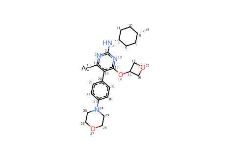 CC(=O)c1nc(N[C@H]2CC[C@@H](C)CC2)nc(OC2COC2)c1-c1ccc(N2CCOCC2)cc1